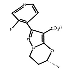 C[C@@H]1CCn2nc(-c3ccncc3F)c(C(=O)O)c2O1